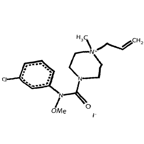 C=CC[N+]1(C)CCN(C(=O)N(OC)c2cccc(Cl)c2)CC1.[I-]